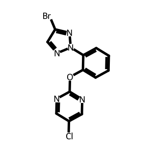 Clc1cnc(Oc2ccccc2-n2ncc(Br)n2)nc1